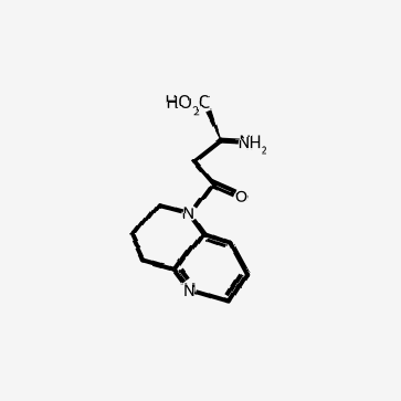 N[C@@H](CC(=O)N1CCCc2ncccc21)C(=O)O